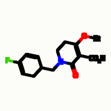 CCOC1=C(C(=O)O)C(=O)N(CC2C=CC(F)=CC2)CC1